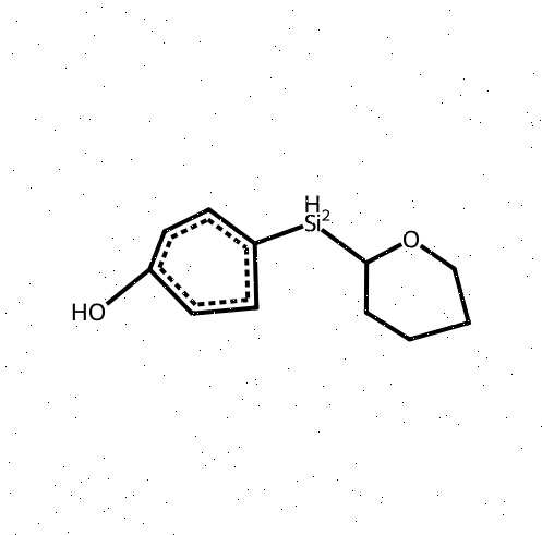 Oc1ccc([SiH2]C2CCCCO2)cc1